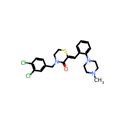 CN1CCN(c2ccccc2C=C2SCCN(Cc3ccc(Cl)c(Cl)c3)C2=O)CC1